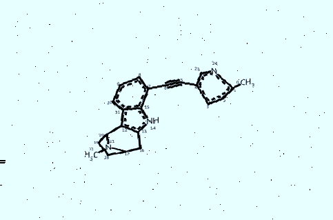 Cc1ccc(C#Cc2cccc3c4c([nH]c23)CC2CCC4N2C)cn1